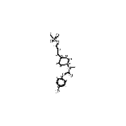 CN(C(=O)Oc1ccc(Cl)cc1)C1CCC(CCCOS(C)(=O)=O)CC1